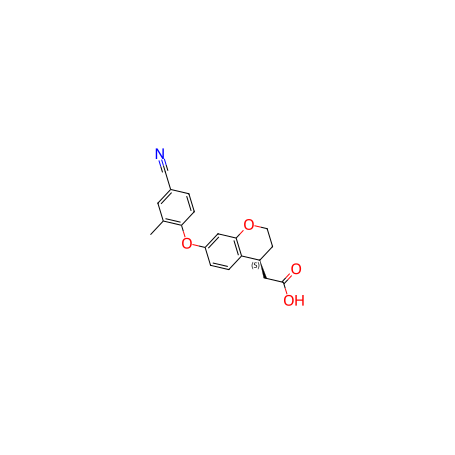 Cc1cc(C#N)ccc1Oc1ccc2c(c1)OCC[C@H]2CC(=O)O